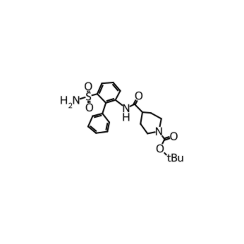 CC(C)(C)OC(=O)N1CCC(C(=O)Nc2cccc(S(N)(=O)=O)c2-c2ccccc2)CC1